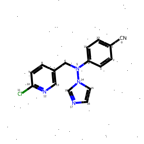 N#Cc1ccc(N(Cc2ccc(Cl)nc2)n2ccnc2)cc1